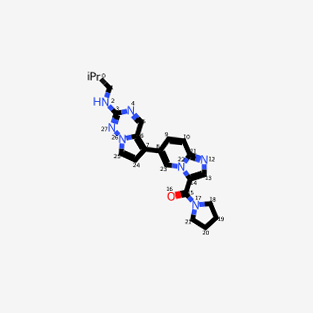 CC(C)CNc1ncc2c(-c3ccc4ncc(C(=O)N5CCCC5)n4c3)ccn2n1